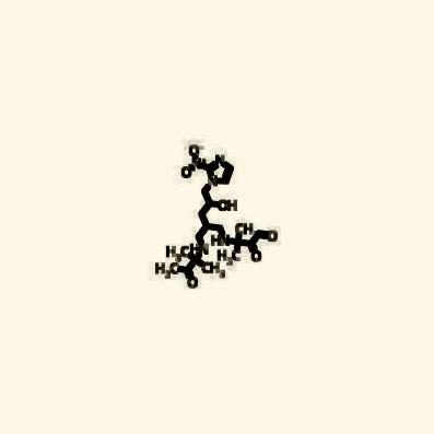 CC(=O)C(C)(C)NCC(CNC(C)(C)C(=O)C=O)CC(O)Cn1ccnc1[N+](=O)[O-]